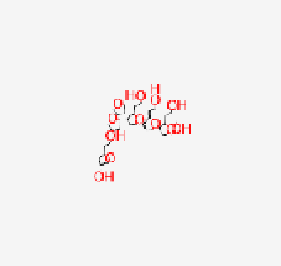 C1CCOC1.C1CCOC1.CO.CO.OCCC1CCCO1.OCCC1CCCO1.OCCC1CCCO1.OCCC1CCCO1